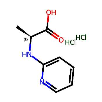 C[C@H](Nc1ccccn1)C(=O)O.Cl.Cl